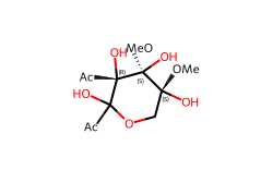 CO[C@]1(O)[C@@](O)(OC)COC(O)(C(C)=O)[C@@]1(O)C(C)=O